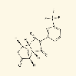 O=C1C[C@H]2CC[C@@H]1[C@H]1C(=O)N(c3cccc(C(F)(F)F)c3)C(=O)[C@@H]21